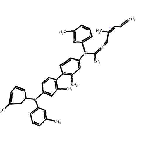 C=C/C=C(/C)C=C=C(C)N(c1cccc(C)c1)c1ccc(-c2ccc(N(c3cccc(C)c3)C3C=CC=C(C)C3)cc2C)c(C)c1